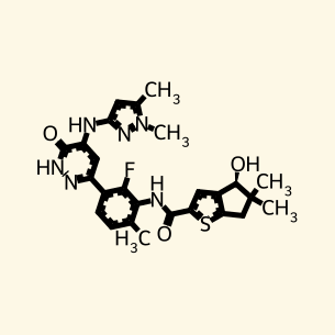 Cc1ccc(-c2cc(Nc3cc(C)n(C)n3)c(=O)[nH]n2)c(F)c1NC(=O)c1cc2c(s1)CC(C)(C)[C@@H]2O